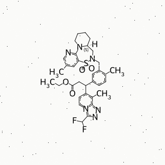 CCOC(=O)CC(c1ccc(C)c(CN2C[C@@H]3CCCCN3c3ncc(C)cc3S2(=O)=O)c1)c1ccn2c(C(F)F)nnc2c1C